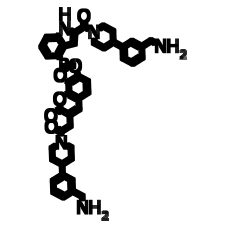 NCc1cccc(C2CCN(C(=O)Cc3cc4ccc5c(c4oc3=O)OB(c3cccc4[nH]c(C(=O)N6CCC(c7cccc(CN)c7)CC6)cc34)O5)CC2)c1